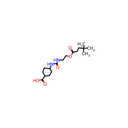 CC(C)(C)CCC(=O)OCCNC(=O)NC1CCC(C(=O)O)CC1